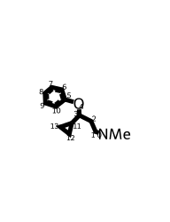 CNCCC(Oc1ccccc1)C1CC1